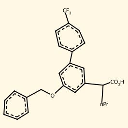 CCCC(C(=O)O)c1cc(OCc2ccccc2)cc(-c2ccc(C(F)(F)F)cc2)c1